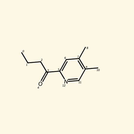 CCCC(=O)c1cc(C)c(C)cn1